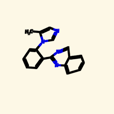 Cc1cncn1-c1ccccc1-c1ncc2ccccc2n1